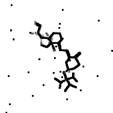 C=C1CC[C@H](O[Si](C(C)C)(C(C)C)C(C)C)CC1=CC=C1CCC[C@]2(C)[C@@H]([C@H](C)C=O)CC[C@@H]12